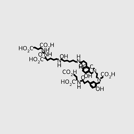 O=C(O)CC[C@H](NC(=O)CCc1ccc(O)c(CN(CCN(CC(=O)O)Cc2cc(CCC(=O)NCCCCCC(O)NCCCC[C@H](NC(=O)N[C@@H](CCC(=O)O)C(=O)O)C(=O)O)ccc2O)CC(=O)O)c1)C(=O)O